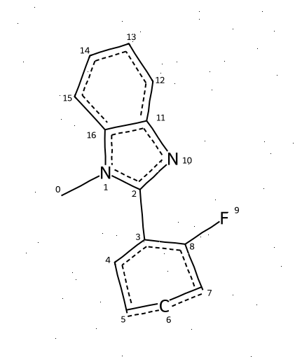 Cn1c(-c2ccccc2F)nc2ccccc21